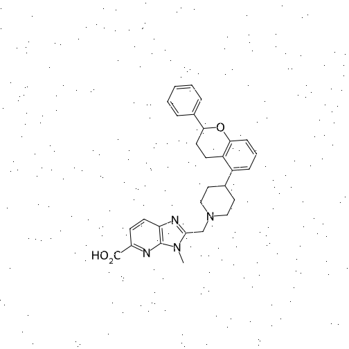 Cn1c(CN2CCC(c3cccc4c3CCC(c3ccccc3)O4)CC2)nc2ccc(C(=O)O)nc21